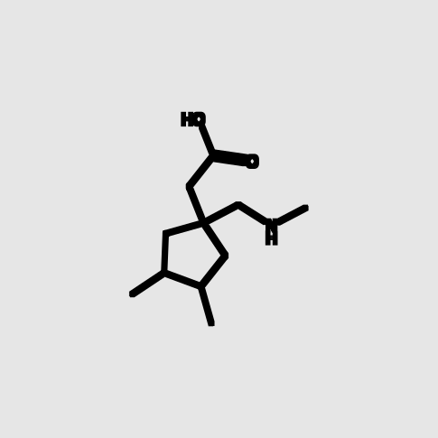 CNCC1(CC(=O)O)CC(C)C(C)C1